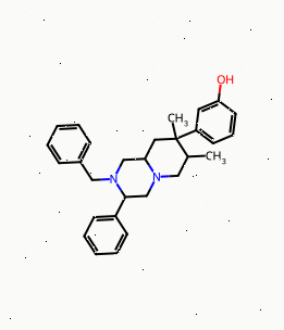 CC1CN2CC(c3ccccc3)N(Cc3ccccc3)CC2CC1(C)c1cccc(O)c1